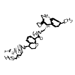 Cc1ccc([C@H](CNC(=O)c2cccc3c2OCCC3NC[C@@H](N)CS)C(N)=O)cc1